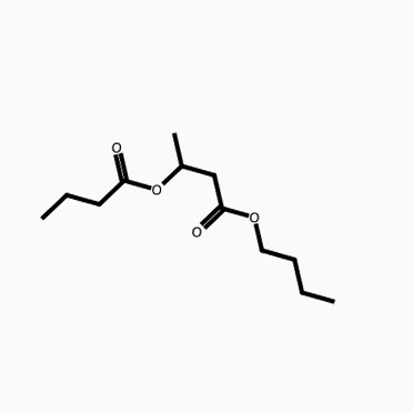 CCCCOC(=O)CC(C)OC(=O)CCC